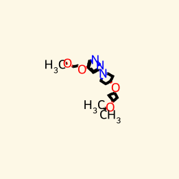 COCCOc1cnnc(N2CCC(OC3CC(OC(C)C)C3)CC2)c1